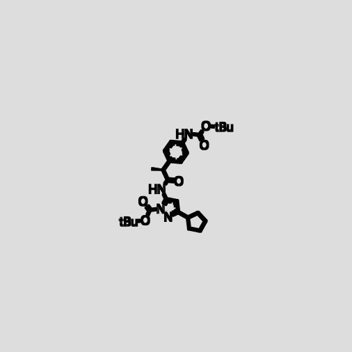 C[C@H](C(=O)Nc1cc(C2CCCC2)nn1C(=O)OC(C)(C)C)c1ccc(NC(=O)OC(C)(C)C)cc1